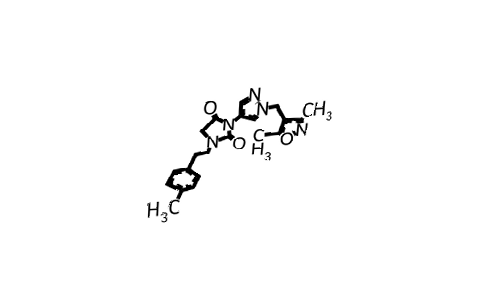 Cc1ccc(CCN2CC(=O)N(c3cnn(Cc4c(C)noc4C)c3)C2=O)cc1